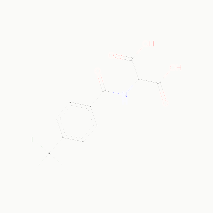 O=C(NC(C(=O)O)C(=O)O)c1ccc(C(F)(F)F)cc1